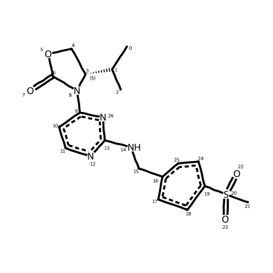 CC(C)[C@H]1COC(=O)N1c1ccnc(NCc2ccc(S(C)(=O)=O)cc2)n1